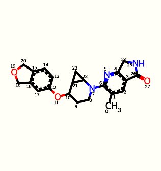 Cc1cc2c(nc1N1CCC(Oc3ccc4c(c3)COC4)C3CC31)CNC2=O